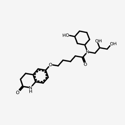 O=C1CCc2cc(OCCCCC(=O)N(CC(O)CO)C3CCCC(O)C3)ccc2N1